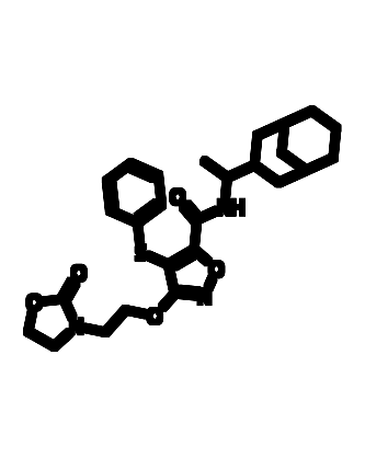 CC(NC(=O)c1onc(OCCN2CCOC2=O)c1Sc1ccccc1)C1CC2CCCC(C2)C1